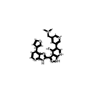 CN(C)Cc1cncc(-c2cnc3[nH]nc(-c4nc5c(-c6ccoc6)ccnc5[nH]4)c3c2F)c1